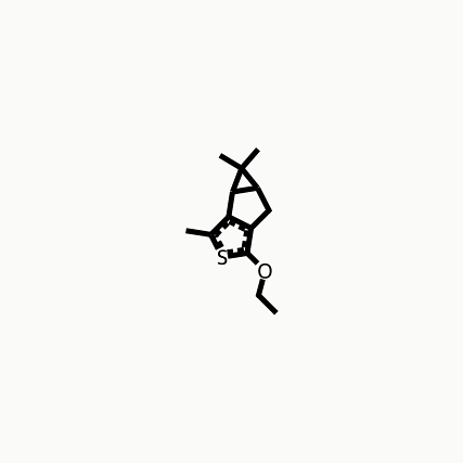 CCOc1sc(C)c2c1CC1C2C1(C)C